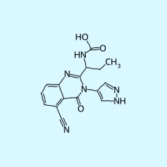 CCC(NC(=O)O)c1nc2cccc(C#N)c2c(=O)n1-c1cn[nH]c1